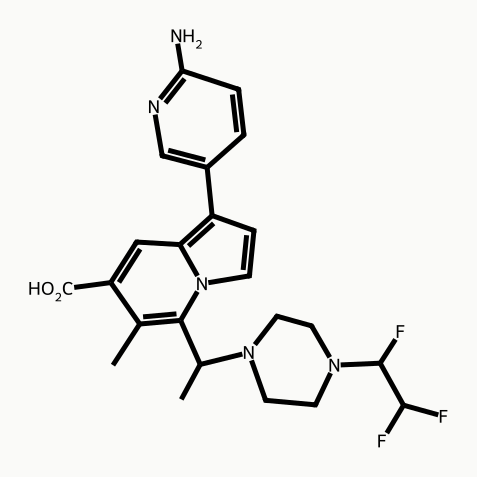 Cc1c(C(=O)O)cc2c(-c3ccc(N)nc3)ccn2c1C(C)N1CCN(C(F)C(F)F)CC1